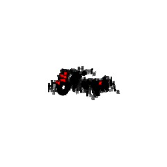 CCNC1COC(OC2C(O[C@H]3C#C/C=C\C#CC(C)(C)[C@]4(O)CC(=O)C(NC(=O)OC)C3/C4=C\CSSSC)OC(C)C(NOC3CC(O)C(SC(=O)c4cc(OC)c(OC5OC(C)C(O)C(OC)C5O)c(I)c4C)C(C)O3)C2O)CC1OC